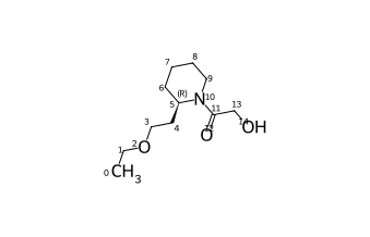 CCOCC[C@H]1CCCCN1C(=O)CO